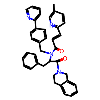 Cc1ccc(C=CC(=O)N(Cc2ccc(-c3ccccn3)cc2)C(Cc2ccccc2)C(=O)N2CCc3ccccc3C2)nc1